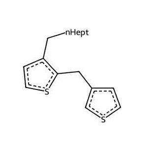 CCCCCCCCc1ccsc1Cc1ccsc1